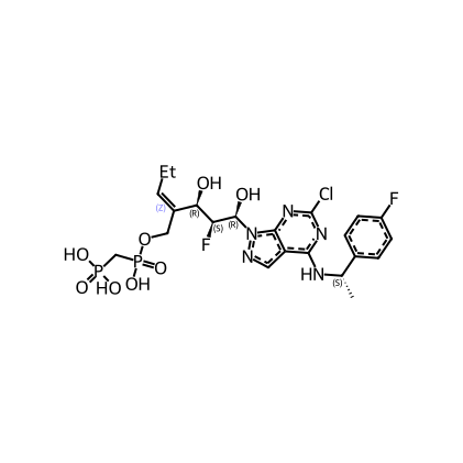 CC/C=C(/COP(=O)(O)CP(=O)(O)O)[C@@H](O)[C@H](F)[C@@H](O)n1ncc2c(N[C@@H](C)c3ccc(F)cc3)nc(Cl)nc21